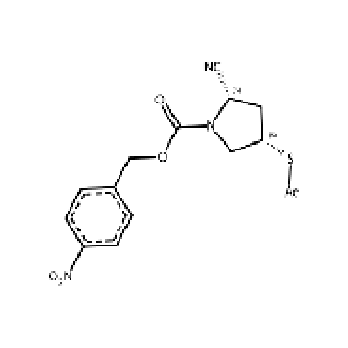 CC(=O)S[C@H]1C[C@@H](C#N)N(C(=O)OCc2ccc([N+](=O)[O-])cc2)C1